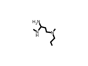 CCCN(C)CCC(N)NC